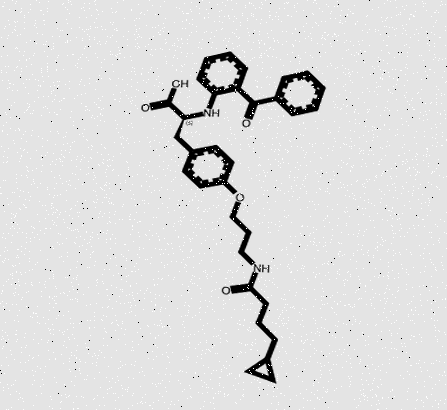 O=C(CCCC1CC1)NCCCOc1ccc(C[C@H](Nc2ccccc2C(=O)c2ccccc2)C(=O)O)cc1